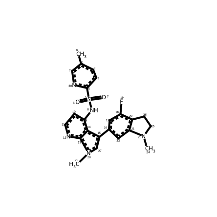 Cc1ccc(S(=O)(=O)Nc2ccnc3c2c(-c2cc(F)c4c(c2)N(C)CC4)cn3C)nc1